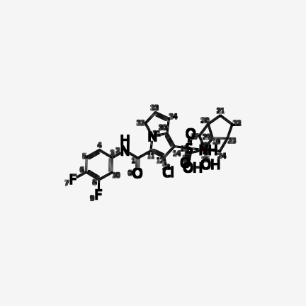 O=C(Nc1ccc(F)c(F)c1)c1c(Cl)c(S(=O)(=O)NC2C3CCC2CC(O)(CO)C3)c2n1CC=C2